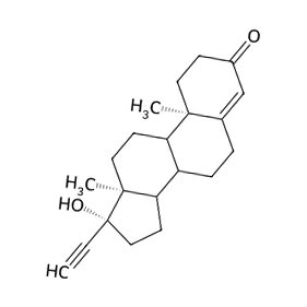 C#C[C@]1(O)CCC2C3CCC4=CC(=O)CC[C@]4(C)C3CC[C@@]21C